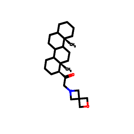 C[C@]12CCCCC1CCC1C2CC[C@@]2(C)C1CCC[C@@H]2C(=O)CN1CC2(COC2)C1